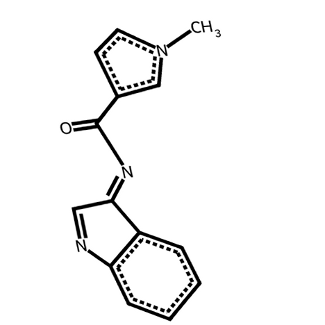 Cn1ccc(C(=O)/N=C2\C=Nc3ccccc32)c1